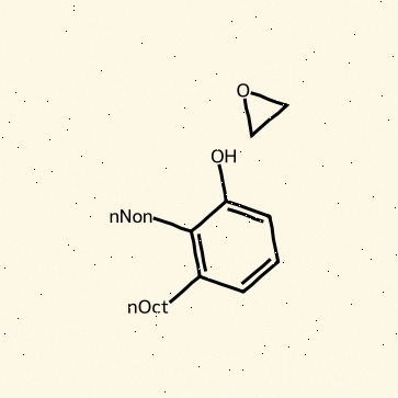 C1CO1.CCCCCCCCCc1c(O)cccc1CCCCCCCC